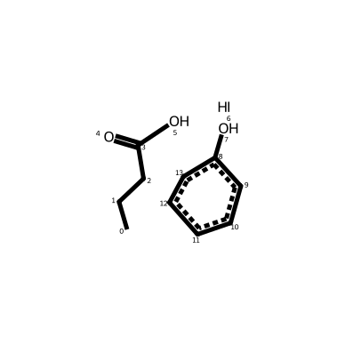 CCCC(=O)O.I.Oc1ccccc1